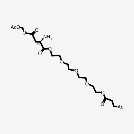 CC(=O)CCC(=O)OCCOCCOCCOCCOC(=O)[C@H](N)CC(=O)OCOC(C)=O